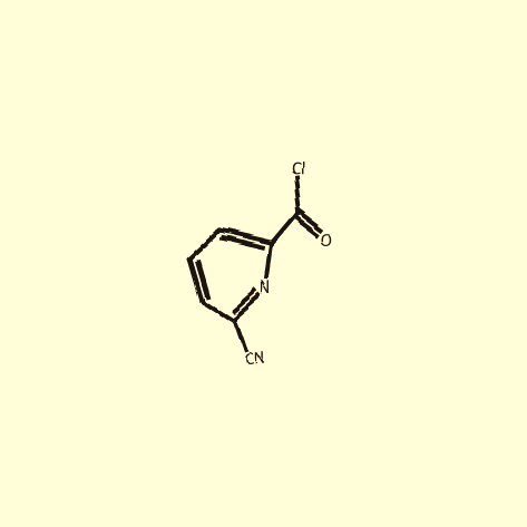 N#Cc1cccc(C(=O)Cl)n1